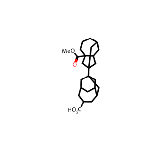 COC(=O)C12CCCC3CC1CC(C14CC5CC(C(=O)O)CC(C1)C(C5)C4)(C3)C2